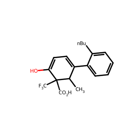 CCCCc1ccccc1C1=CC=C(O)C(C(=O)O)(C(F)(F)F)C1C